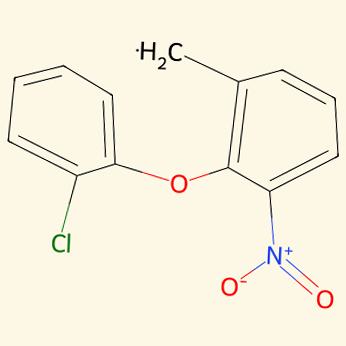 [CH2]c1cccc([N+](=O)[O-])c1Oc1ccccc1Cl